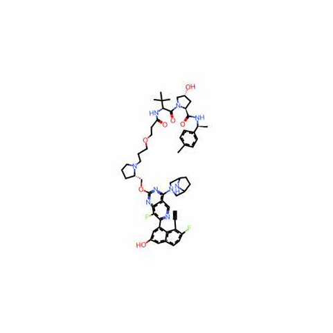 C#Cc1c(F)ccc2cc(O)cc(-c3ncc4c(N5CC6CCC(C5)N6)nc(OC[C@@H]5CCCN5CCCOCCC(=O)N[C@H](C(=O)N5C[C@H](O)C[C@H]5C(=O)N[C@@H](C)c5ccc(C)cc5)C(C)(C)C)nc4c3F)c12